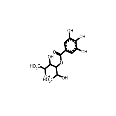 O=C(OC(C(O)C(=O)O)C(O)C(O)C(=O)O)c1cc(O)c(O)c(O)c1